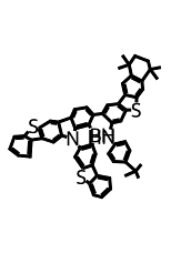 CC(C)(C)c1ccc(Nc2cc3sc4cc5c(cc4c3cc2-c2ccc3c4cc6sc7ccccc7c6cc4n4c3c2Bc2cc3c(cc2-4)sc2ccccc23)C(C)(C)CCC5(C)C)cc1